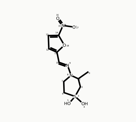 CC1CS(O)(O)CCN1N=Cc1ccc([N+](=O)[O-])o1